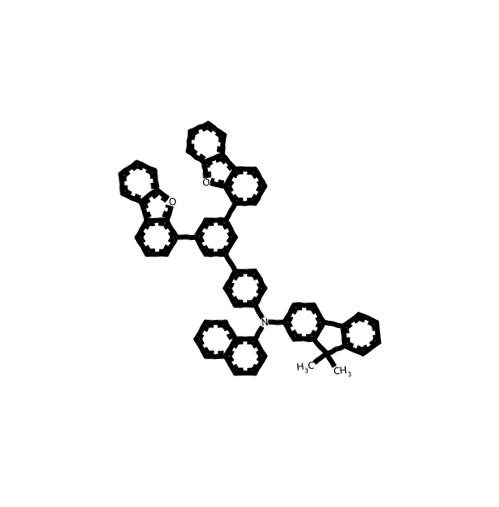 CC1(C)c2ccccc2-c2ccc(N(c3ccc(-c4cc(-c5cccc6c5oc5ccccc56)cc(-c5cccc6c5oc5ccccc56)c4)cc3)c3cccc4ccccc34)cc21